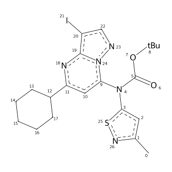 Cc1cc(N(C(=O)OC(C)(C)C)c2cc(C3CCCCC3)nc3c(I)cnn23)sn1